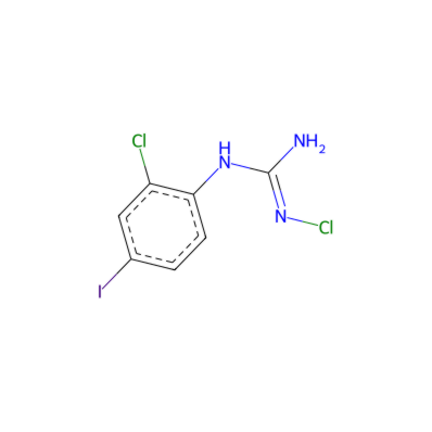 NC(=NCl)Nc1ccc(I)cc1Cl